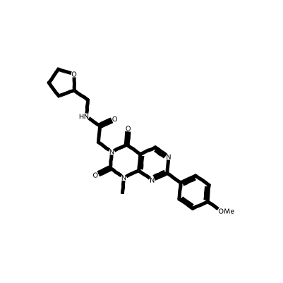 COc1ccc(-c2ncc3c(=O)n(CC(=O)NCC4CCCO4)c(=O)n(C)c3n2)cc1